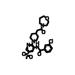 CS(=O)(=O)c1cnc(N2CCC(CC(=O)N3CCCOCC3)CC2)c(NC(=O)c2cccc(Cl)c2)c1